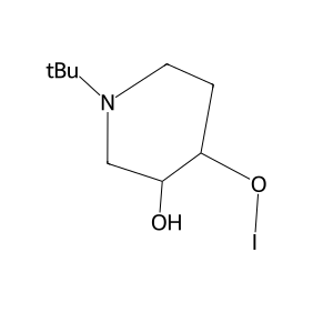 CC(C)(C)N1CCC(OI)C(O)C1